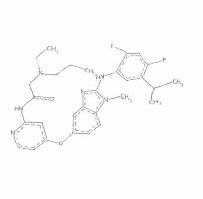 CCCN(CC)CC(=O)Nc1cc(Oc2ccc3c(c2)nc(Nc2cc(C(C)C)c(F)cc2F)n3C)ccn1